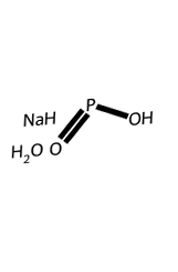 O.O=PO.[NaH]